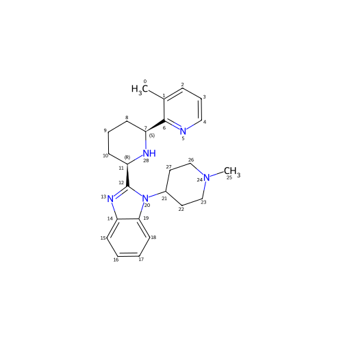 Cc1cccnc1[C@@H]1CCC[C@H](c2nc3ccccc3n2C2CCN(C)CC2)N1